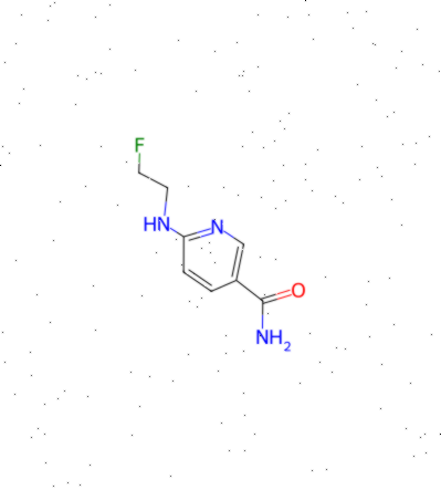 NC(=O)c1ccc(NCCF)nc1